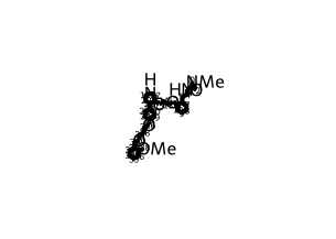 CNC(=O)NCCc1ccccc1OCCOC1CNCCC1c1ccc(OCCCOCc2ccccc2OC)cc1